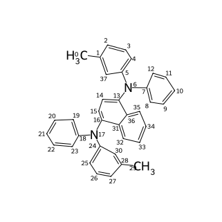 Cc1cccc(N(c2ccccc2)c2ccc(N(c3ccccc3)c3cccc(C)c3)c3ccccc23)c1